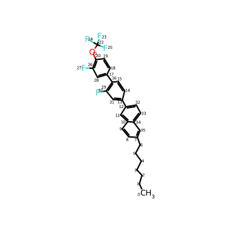 CCCCCCCc1ccc2cc(-c3ccc(-c4ccc(OC(F)(F)F)c(F)c4)c(F)c3)ccc2c1